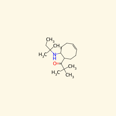 CCC(C)(C)NC1CC/C=C\CCC1C(=O)C(C)(C)C